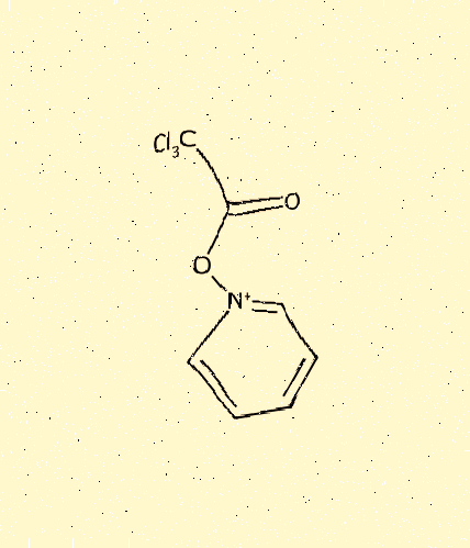 O=C(O[n+]1ccccc1)C(Cl)(Cl)Cl